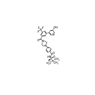 CC(C)(C)S(=O)(=O)NC(=O)c1ccc(N2CCN(C(=O)c3cc(-c4cncc(O)c4)cc(C(F)(F)F)c3)CC2)cc1